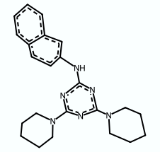 c1ccc2cc(Nc3nc(N4CCCCC4)nc(N4CCCCC4)n3)ccc2c1